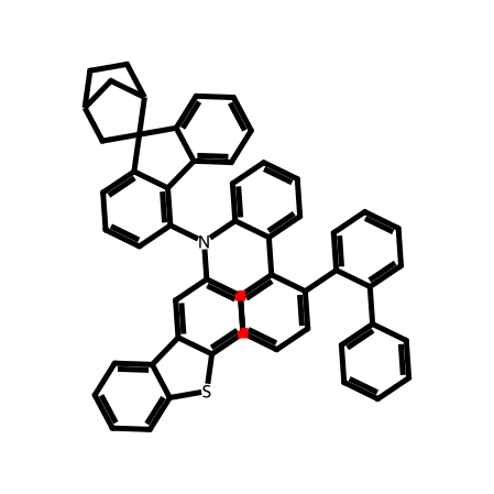 c1ccc(-c2ccccc2-c2ccccc2-c2ccccc2N(c2ccc3sc4ccccc4c3c2)c2cccc3c2-c2ccccc2C32CC3CCC2C3)cc1